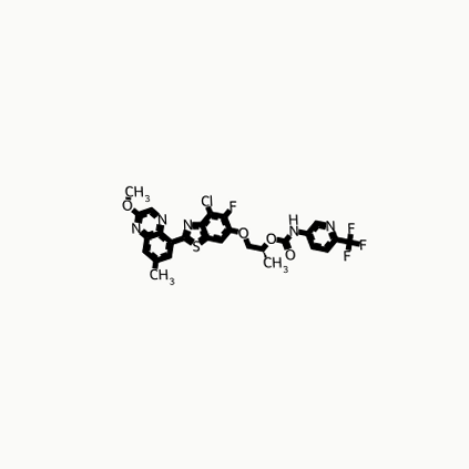 COc1cnc2c(-c3nc4c(Cl)c(F)c(OC[C@@H](C)OC(=O)Nc5ccc(C(F)(F)F)nc5)cc4s3)cc(C)cc2n1